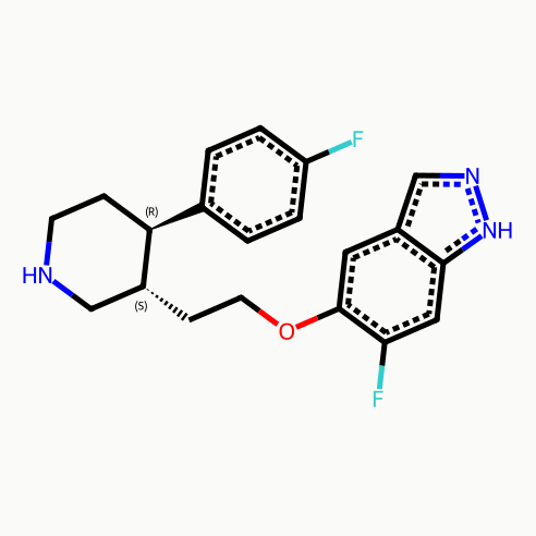 Fc1ccc([C@@H]2CCNC[C@H]2CCOc2cc3cn[nH]c3cc2F)cc1